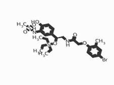 CC[Si](CC)(CC)O[C@H](CNC(=O)COc1ccc(Br)cc1C)c1ccc(O)c(NS(C)(=O)=O)c1